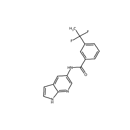 CC(F)(F)c1cccc(C(=O)Nc2cnc3[nH]ccc3c2)c1